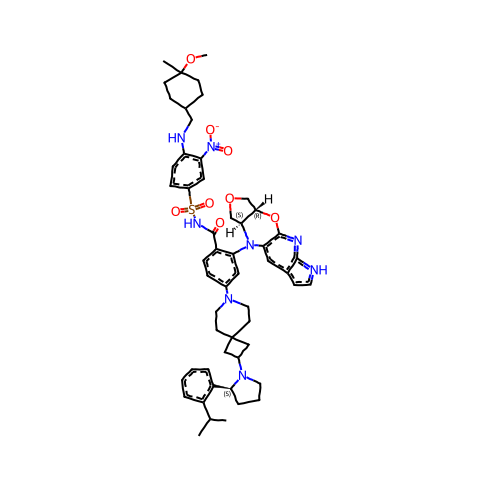 COC1(C)CCC(CNc2ccc(S(=O)(=O)NC(=O)c3ccc(N4CCC5(CC4)CC(N4CCC[C@H]4c4ccccc4C(C)C)C5)cc3N3c4cc5cc[nH]c5nc4O[C@H]4COC[C@@H]43)cc2[N+](=O)[O-])CC1